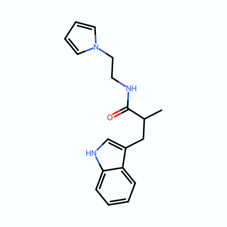 CC(Cc1c[nH]c2ccccc12)C(=O)NCCn1cccc1